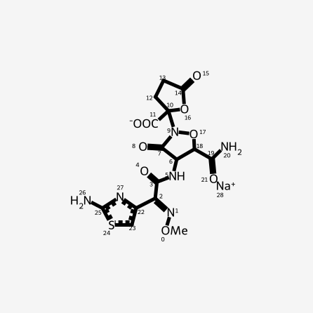 CON=C(C(=O)NC1C(=O)N(C2(C(=O)[O-])CCC(=O)O2)OC1C(N)=O)c1csc(N)n1.[Na+]